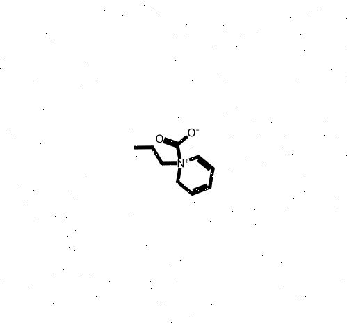 CCC[N+]1(C(=O)[O-])C=CC=CC1